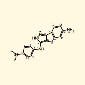 CN(C)c1ccc(Nc2[nH]nc3c2Cc2cc(N)ccc2-3)cc1